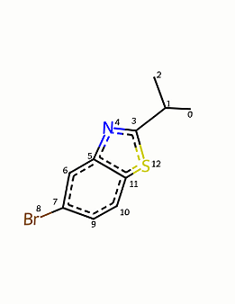 CC(C)c1nc2cc(Br)ccc2s1